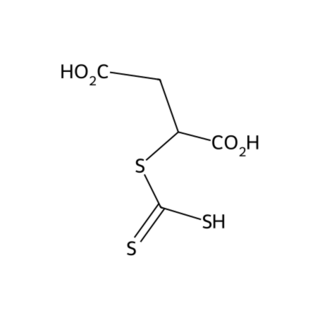 O=C(O)CC(SC(=S)S)C(=O)O